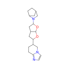 c1cn2c(n1)CCC(C1CC3CC(N4CC5CCC4C5)OC3O1)C2